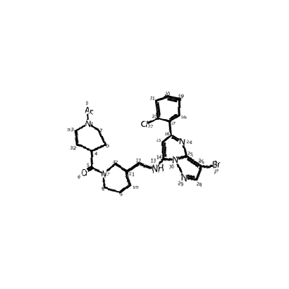 CC(=O)N1CCC(C(=O)N2CCCC(CNc3cc(-c4ccccc4Cl)nc4c(Br)cnn34)C2)CC1